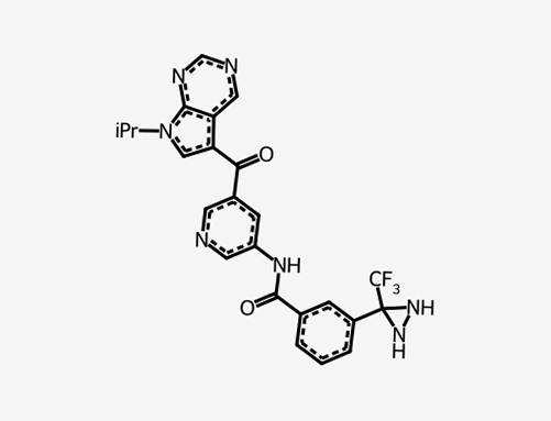 CC(C)n1cc(C(=O)c2cncc(NC(=O)c3cccc(C4(C(F)(F)F)NN4)c3)c2)c2cncnc21